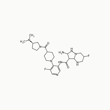 CN(C)[C@@H]1CCN(C(=O)C2CCN(c3c(F)cncc3NC(=O)C3C(N)NN4CC(F)CNC34)CC2)C1